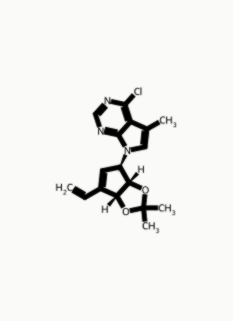 C=CC1=C[C@@H](n2cc(C)c3c(Cl)ncnc32)[C@@H]2OC(C)(C)O[C@H]12